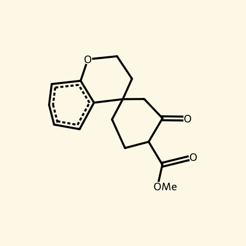 COC(=O)C1CCC2(CCOc3ccccc32)CC1=O